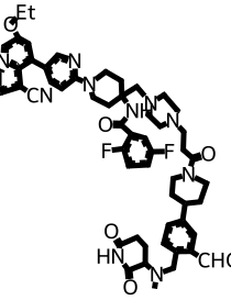 CCOc1cc(-c2ccc(N3CCC(CN4CCN(CCC(=O)N5CCC(c6ccc(CN(C)C7CCC(=O)NC7=O)c(C=O)c6)CC5)CC4)(NC(=O)c4cc(F)ccc4F)CC3)nc2)c2c(C#N)cnn2c1